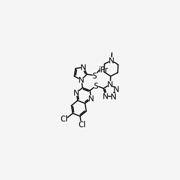 CC(C)Sc1nccn1-c1nc2cc(Cl)c(Cl)cc2nc1Sc1nnnn1C1CCN(C)CC1